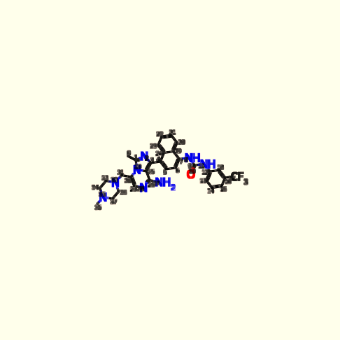 Cc1nc(-c2ccc(NC(=O)Nc3cccc(C(F)(F)F)c3)c3ccccc23)c2c(N)ncc(CN3CCN(C)CC3)n12